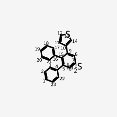 S.c1ccc(-c2cccc(-c3ccsc3)c2-c2ccccc2)cc1